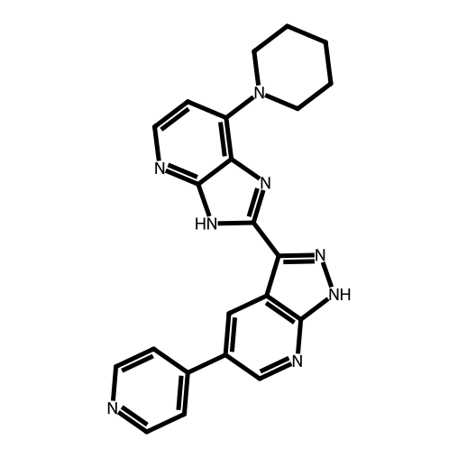 c1cc(-c2cnc3[nH]nc(-c4nc5c(N6CCCCC6)ccnc5[nH]4)c3c2)ccn1